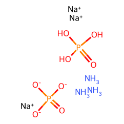 N.N.N.O=P(O)(O)O.O=P([O-])([O-])[O-].[Na+].[Na+].[Na+]